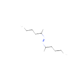 CCC(CCCC#N)/N=N/C(CC)CCCC#N